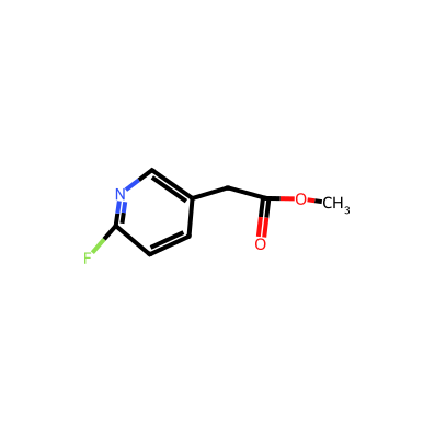 COC(=O)Cc1ccc(F)nc1